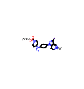 CC(=O)N1CCc2c(c(I)nn2C2CCC(NC3CCN(C(=O)OC(C)(C)C)CC3)CC2)C1